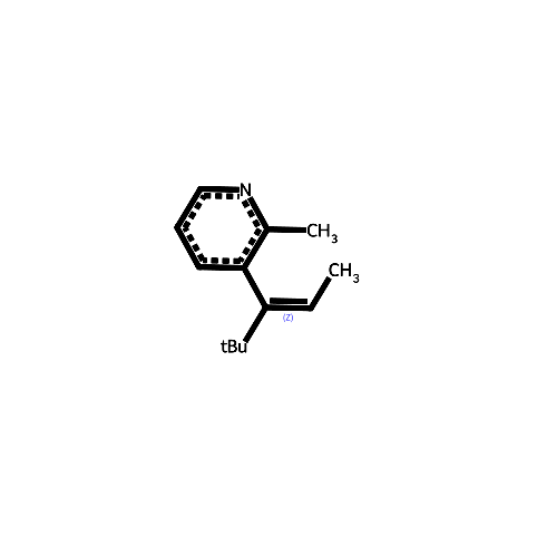 C/C=C(\c1cccnc1C)C(C)(C)C